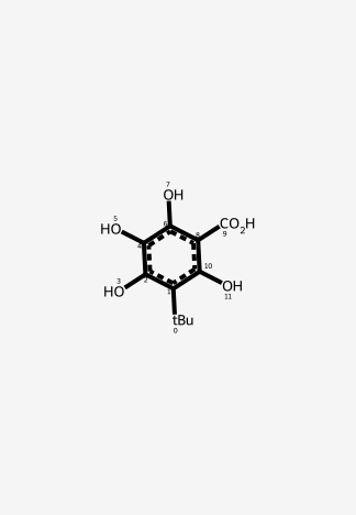 CC(C)(C)c1c(O)c(O)c(O)c(C(=O)O)c1O